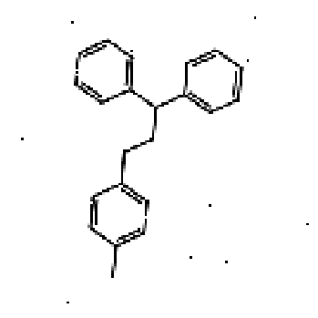 Cc1ccc(CCC(c2ccccc2)c2ccccc2)cc1